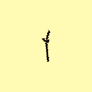 CCCCCCCCCCCCCCCN1C=CN(CCCCCCC)C1CCC